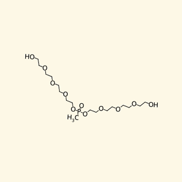 CP(=O)(OCCOCCOCCOCCO)OCCOCCOCCOCCO